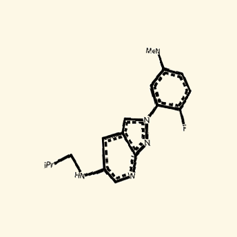 CNc1ccc(F)c(-n2cc3cc(NCC(C)C)cnc3n2)c1